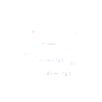 CC(C)NC(C)C.CC(C)NC(C)C.O=C(O)CC(O)C(=O)O